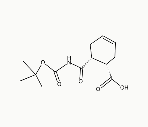 CC(C)(C)OC(=O)NC(=O)[C@@H]1CC=CC[C@@H]1C(=O)O